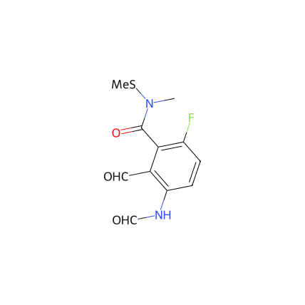 CSN(C)C(=O)c1c(F)ccc(NC=O)c1C=O